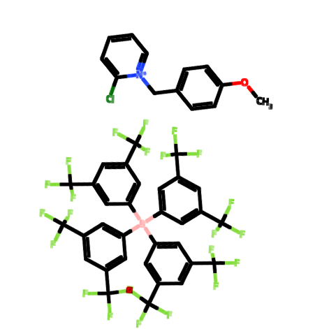 COc1ccc(C[n+]2ccccc2Cl)cc1.FC(F)(F)c1cc([B-](c2cc(C(F)(F)F)cc(C(F)(F)F)c2)(c2cc(C(F)(F)F)cc(C(F)(F)F)c2)c2cc(C(F)(F)F)cc(C(F)(F)F)c2)cc(C(F)(F)F)c1